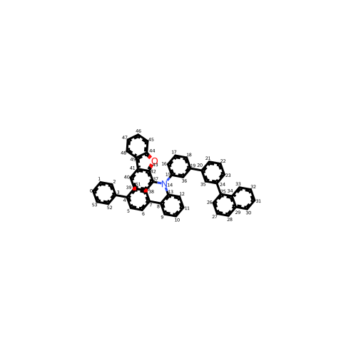 c1ccc(-c2ccc(-c3ccccc3N(c3cccc(-c4cccc(-c5cccc6ccccc56)c4)c3)c3cccc4c3oc3ccccc34)cc2)cc1